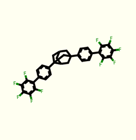 Fc1c(F)c(F)c(-c2ccc(C34CC5CC(C3)C(c3ccc(-c6c(F)c(F)c(F)c(F)c6F)cc3)(C5)C4)cc2)c(F)c1F